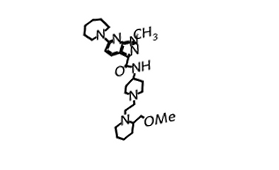 COCC1CCCCN1CCN1CCC(NC(=O)c2nn(C)c3nc(N4CCCCCC4)ccc23)CC1